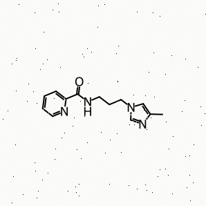 Cc1cn(CCCNC(=O)c2ccccn2)cn1